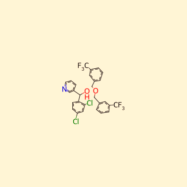 FC(F)(F)c1cccc(COCc2cccc(C(F)(F)F)c2)c1.OC(c1cccnc1)c1ccc(Cl)cc1Cl